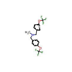 CN(Cc1ccc(OC(F)(F)F)cc1)Cc1ccc(OC(F)(F)F)cc1